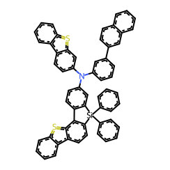 c1ccc([Si]2(c3ccccc3)c3cc(N(c4cccc(-c5ccc6ccccc6c5)c4)c4ccc5c(c4)sc4ccccc45)ccc3-c3c2ccc2c3sc3ccccc32)cc1